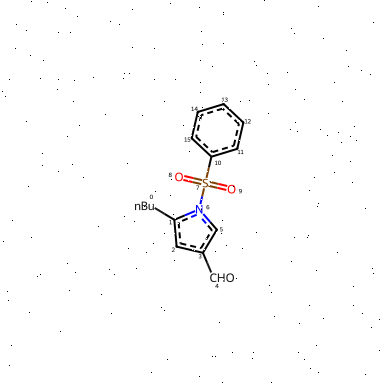 CCCCc1cc(C=O)cn1S(=O)(=O)c1ccccc1